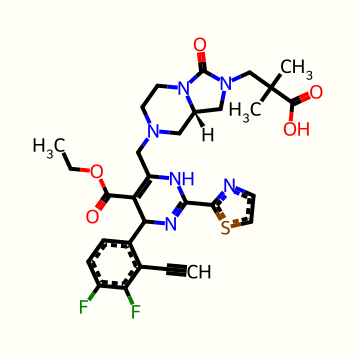 C#Cc1c(C2N=C(c3nccs3)NC(CN3CCN4C(=O)N(CC(C)(C)C(=O)O)C[C@@H]4C3)=C2C(=O)OCC)ccc(F)c1F